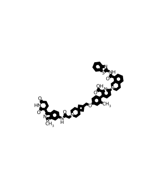 Cc1cc(OCC2CC3(CCN(CC(=O)Nc4ccc5c(C6CCC(=O)NC6=O)nn(C)c5c4)CC3)C2)ccc1-c1ccc(N2CCc3cccc(C(=O)Nc4nc5ccccc5s4)c3C2)nc1C(=O)O